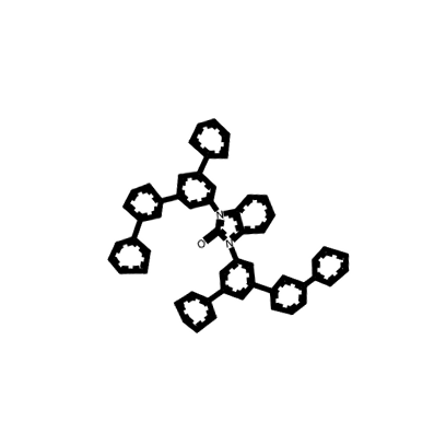 O=c1n(-c2cc(-c3ccccc3)cc(-c3cccc(-c4ccccc4)c3)c2)c2ccccc2n1-c1cc(-c2ccccc2)cc(-c2cccc(-c3ccccc3)c2)c1